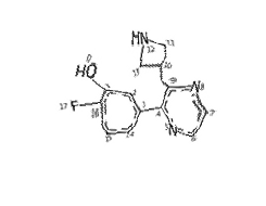 Oc1cc(-c2nccnc2C2CNC2)ccc1F